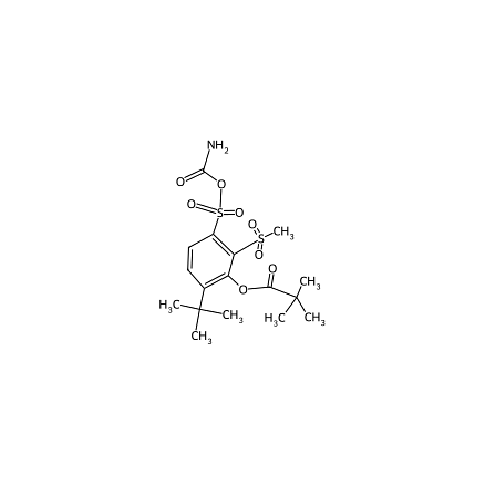 CC(C)(C)C(=O)Oc1c(C(C)(C)C)ccc(S(=O)(=O)OC(N)=O)c1S(C)(=O)=O